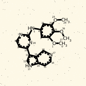 COc1cc(Nc2nccc(-c3c[nH]c4ccncc34)n2)cc(OC)c1OC